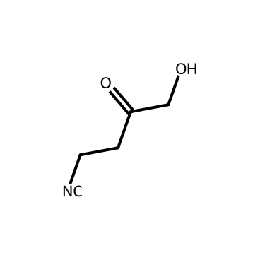 [C-]#[N+]CCC(=O)CO